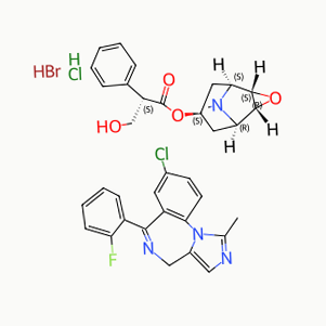 Br.CN1[C@@H]2C[C@@H](OC(=O)[C@H](CO)c3ccccc3)C[C@H]1[C@@H]1O[C@@H]12.Cc1ncc2n1-c1ccc(Cl)cc1C(c1ccccc1F)=NC2.Cl